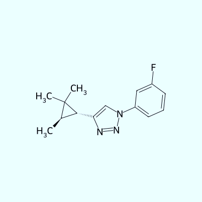 C[C@@H]1[C@@H](c2cn(-c3cccc(F)c3)nn2)C1(C)C